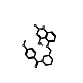 COc1ccc(C(=O)N2CCC[C@H](COc3cccc4c3C(N)=N[S+]([O-])N4)C2)cc1